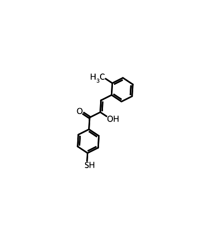 Cc1ccccc1/C=C(\O)C(=O)c1ccc(S)cc1